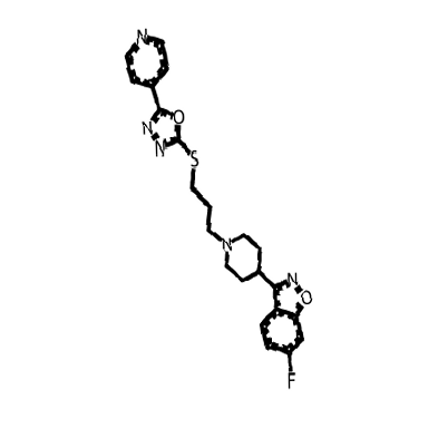 Fc1ccc2c(C3CCN(CCCSc4nnc(-c5ccncc5)o4)CC3)noc2c1